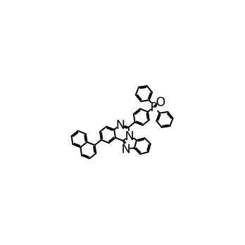 O=P(c1ccccc1)(c1ccccc1)c1ccc(-c2nc3ccc(-c4cccc5ccccc45)cc3c3nc4ccccc4n23)cc1